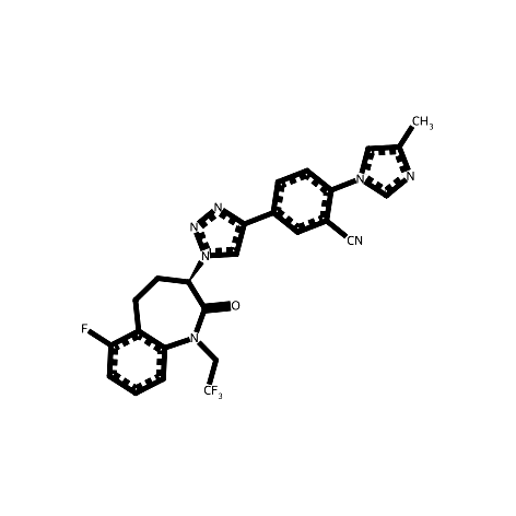 Cc1cn(-c2ccc(-c3cn([C@@H]4CCc5c(F)cccc5N(CC(F)(F)F)C4=O)nn3)cc2C#N)cn1